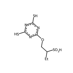 CCC(COc1nc(S)nc(S)n1)S(=O)(=O)O